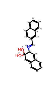 OC1(O)C=c2ccccc2=CC1N=Cc1ccc2ccccc2c1